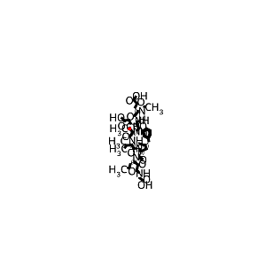 CCC[C@H](NC(=O)[C@@H]1C[C@@H](Cc2ccccc2)CN1C(=O)[C@@H](NC(=O)[C@@H](NC(=O)[C@H](CCC(=O)O)NC(=O)[C@H](CCC(=O)O)NC(C)=O)C(C)C)C(C)C)C(=O)C(=O)NCC(=O)O